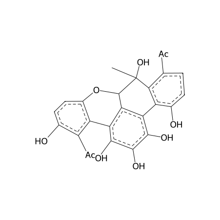 CC(=O)c1ccc(O)c2c1C(C)(O)C1Oc3ccc(O)c(C(C)=O)c3-c3c(O)c(O)c(O)c-2c31